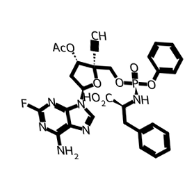 C#C[C@]1(CO[P@@](=O)(N[C@@H](Cc2ccccc2)C(=O)O)Oc2ccccc2)O[C@@H](n2cnc3c(N)nc(F)nc32)C[C@@H]1OC(C)=O